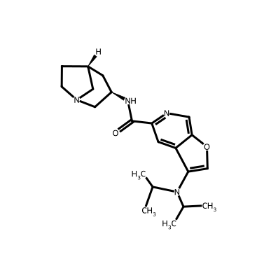 CC(C)N(c1coc2cnc(C(=O)N[C@@H]3C[C@H]4CCN(C4)C3)cc12)C(C)C